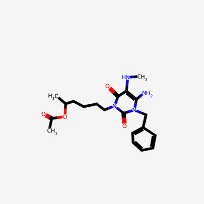 CNc1c(N)n(Cc2ccccc2)c(=O)n(CCCCC(C)OC(C)=O)c1=O